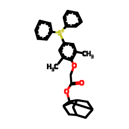 Cc1cc([S+](c2ccccc2)c2ccccc2)cc(C)c1OCC(=O)OC1C2CC3CC(C2)CC1C3